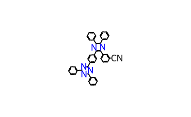 N#Cc1cccc(-c2nc(-c3ccccc3)c(-c3ccccc3)nc2-c2ccc(-c3nc(-c4ccccc4)nc(-c4ccccc4)n3)cc2)c1